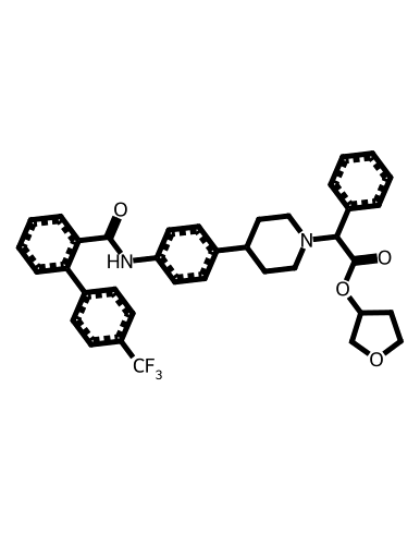 O=C(Nc1ccc(C2CCN(C(C(=O)OC3CCOC3)c3ccccc3)CC2)cc1)c1ccccc1-c1ccc(C(F)(F)F)cc1